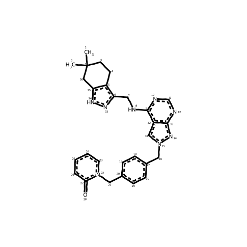 CC1(C)CCc2c(CNc3ncnc4nn(Cc5ccc(Cn6ccccc6=O)cc5)cc34)n[nH]c2C1